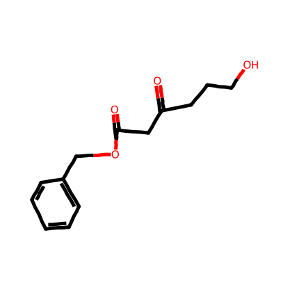 O=C(CCCO)CC(=O)OCc1ccccc1